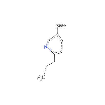 CSc1ccc(CCC(F)(F)F)nc1